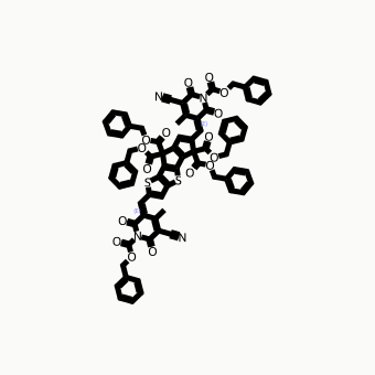 CC1=C(C#N)C(=O)N(C(=O)OCc2ccccc2)C(=O)/C1=C/C1=CC2=C(c3sc4cc(/C=C5/C(=O)N(C(=O)OCc6ccccc6)C(=O)C(C#N)=C5C)sc4c3C2(C(=O)OCc2ccccc2)C(=O)OCc2ccccc2)C1(C(=O)OCc1ccccc1)C(=O)OCc1ccccc1